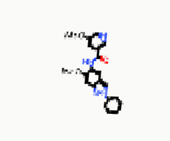 COc1cncc(C(=O)Nc2cc3cn(C4CCCCC4)nc3cc2OC)c1